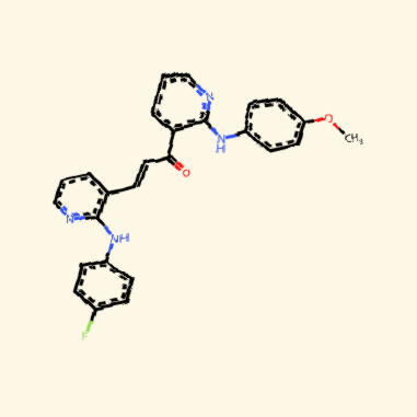 COc1ccc(Nc2ncccc2C(=O)C=Cc2cccnc2Nc2ccc(F)cc2)cc1